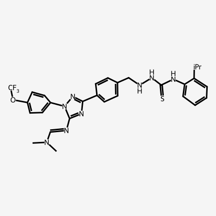 CC(C)c1ccccc1NC(=S)NNCc1ccc(-c2nc(/N=C/N(C)C)n(-c3ccc(OC(F)(F)F)cc3)n2)cc1